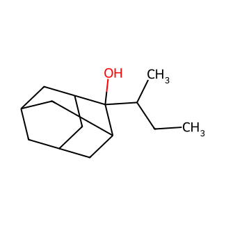 CCC(C)C1(O)C2CC3CC(C2)CC1C3